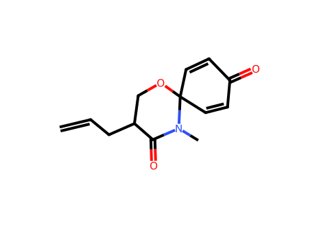 C=CCC1COC2(C=CC(=O)C=C2)N(C)C1=O